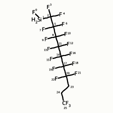 F[SiH2]C(F)(F)C(F)(F)C(F)(F)C(F)(F)C(F)(F)C(F)(F)C(F)(F)CCC(F)(F)F